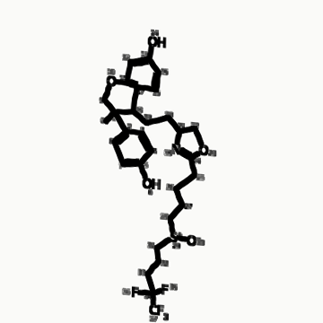 CC1(c2ccc(O)cc2)COc2cc(O)ccc2C1CCC1COC(CCCC[S+]([O-])CCCC(F)(F)C(F)(F)F)=N1